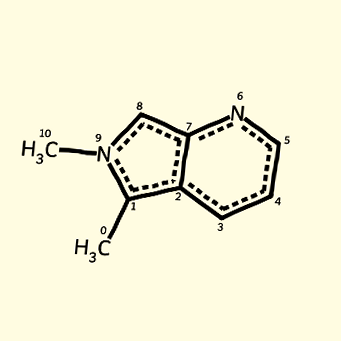 Cc1c2cccnc2cn1C